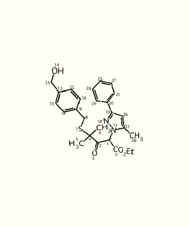 CCOC(=O)C(C(=O)C(C)(C)SCc1ccc(CO)cc1)n1nc(-c2ccccc2)cc1C